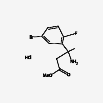 COC(=O)CC(C)(N)c1cc(Br)ccc1F.Cl